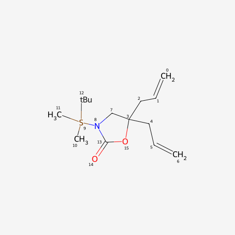 C=CCC1(CC=C)CN(S(C)(C)C(C)(C)C)C(=O)O1